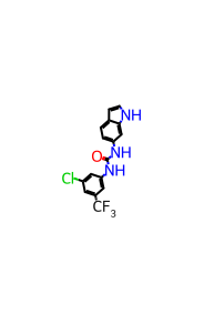 O=C(Nc1cc(Cl)cc(C(F)(F)F)c1)Nc1ccc2cc[nH]c2c1